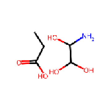 CCC(=O)O.NC(O)C(O)O